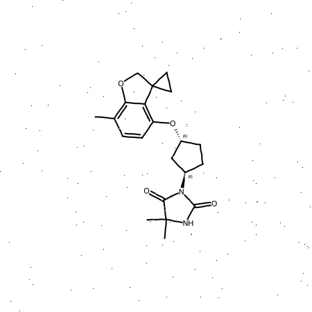 Cc1ccc(O[C@@H]2CC[C@@H](N3C(=O)NC(C)(C)C3=O)C2)c2c1OCC21CC1